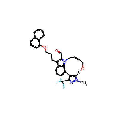 Cn1nc(C(F)(F)F)c2c1COC/C=C\Cn1c(C=O)c(CCCOc3cccc4ccccc34)c3cccc-2c31